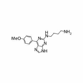 COc1ccc(-c2nc(NCCCCN)nc3[nH]cnc23)cc1